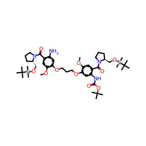 COc1cc(C(=O)N2CCC[C@H]2CO[Si](C)(C)C(C)(C)C)c(N)cc1OCCCOc1cc(NC(=O)OC(C)(C)C)c(C(=O)N2CCC[C@H]2CO[Si](C)(C)C(C)(C)C)cc1OC